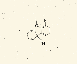 COc1c(F)cccc1C1(C#N)CCCCC1